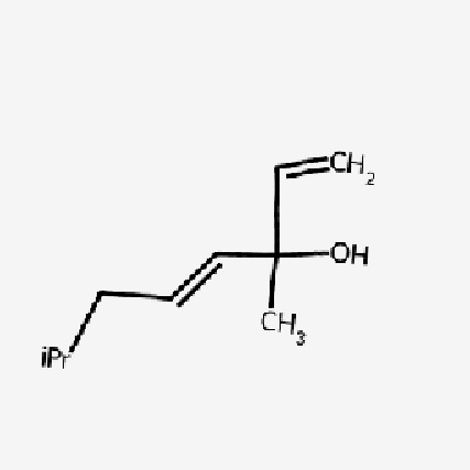 C=CC(C)(O)C=CCC(C)C